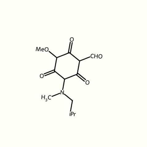 COC1C(=O)C(C=O)C(=O)C(N(C)CC(C)C)C1=O